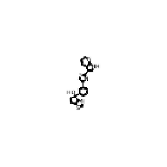 O[C@@]1(c2cccc(-c3csc(-c4c[nH]c5ncccc45)n3)c2)CCc2scnc21